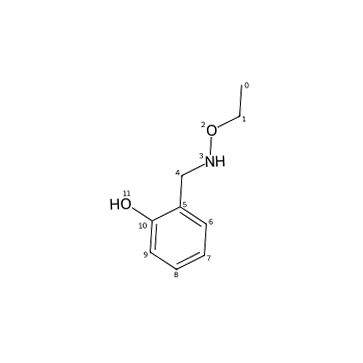 CCONCc1ccccc1O